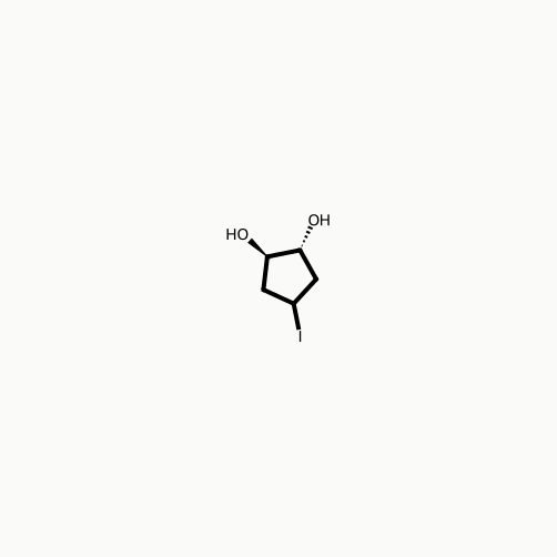 O[C@@H]1CC(I)C[C@H]1O